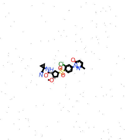 CO[C@H]1CC(S(=O)(=O)c2ccc(-n3nc(C)ccc3=O)cc2Cl)C[C@@H]1C(=O)NC1(C#N)CC1